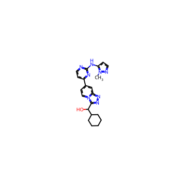 Cn1nccc1Nc1nccc(-c2ccn3c(C(O)C4CCCCC4)nnc3c2)n1